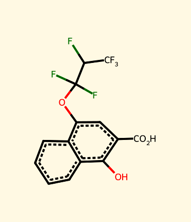 O=C(O)c1cc(OC(F)(F)C(F)C(F)(F)F)c2ccccc2c1O